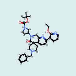 CCOc1ncccc1-c1ccc2c(n1)CN(C1CCN(C(=O)OC(C)(C)C)C1)C(=O)C21CCN(Cc2ccccc2)CC1